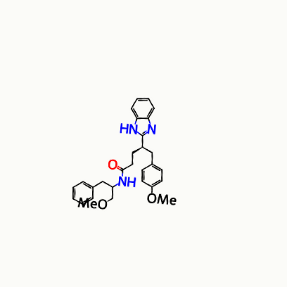 COCC(Cc1ccccc1)NC(=O)CC[C@H](Cc1ccc(OC)cc1)c1nc2ccccc2[nH]1